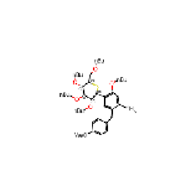 CCCCOC[C@H]1S[C@@H](c2cc(Cc3ccc(OC)cc3)c(C)cc2OCCCC)[C@H](OCCCC)[C@@H](OCCCC)[C@@H]1OCCCC